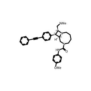 CNC[C@@H]1[C@H](c2ccc(C#Cc3ccccc3)cc2)[C@@H]2CN(C(=O)Nc3ccc(OC)cc3)CCCCN12